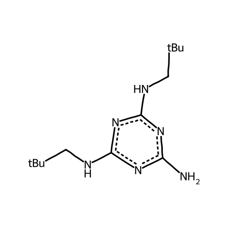 CC(C)(C)CNc1nc(N)nc(NCC(C)(C)C)n1